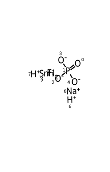 O=P([O-])([O-])[O-].[F-].[H+].[H+].[Na+].[SnH2]